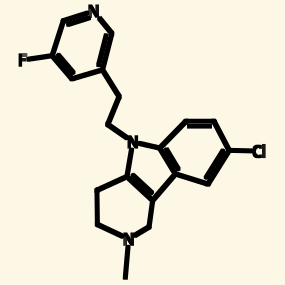 CN1CCc2c(c3cc(Cl)ccc3n2CCc2cncc(F)c2)C1